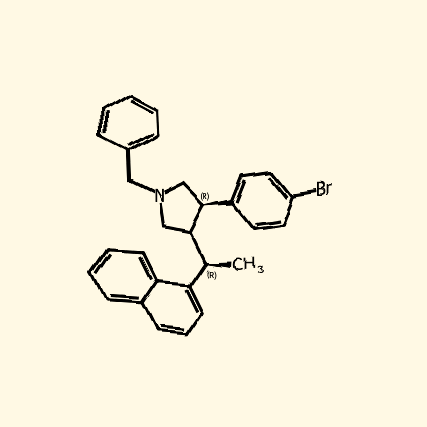 C[C@@H](c1cccc2ccccc12)C1CN(Cc2ccccc2)C[C@H]1c1ccc(Br)cc1